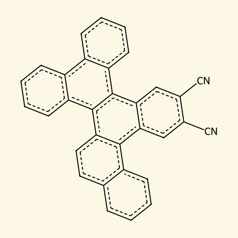 N#Cc1cc2c(cc1C#N)c1c3ccccc3c3ccccc3c1c1ccc3ccccc3c21